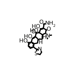 CN(C)[C@@H]1C(=O)C(C(N)=O)=C(O)[C@@]2(O)C(=O)C3=C(O)c4c(O)ccc(C5=NCCS5)c4C[C@H]3C[C@@H]12